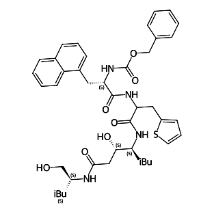 CCC(C)[C@H](NC(=O)C(Cc1cccs1)NC(=O)[C@H](Cc1cccc2ccccc12)NC(=O)OCc1ccccc1)[C@@H](O)CC(=O)N[C@H](CO)[C@@H](C)CC